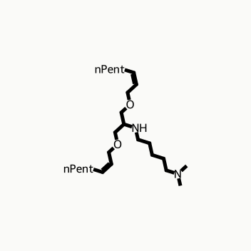 CCCCC/C=C\COCC(COC/C=C\CCCCC)NCCCCCN(C)C